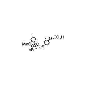 CCCN(CCSc1ccc(OCC(=O)O)c(C)c1)S(=O)(=O)c1ccc(C)cc1OC